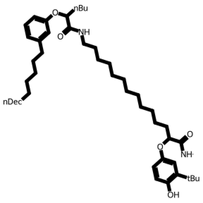 CCCCCCCCCCCCCCCc1cccc(OC(CCCC)C(=O)NCCCCCCCCCCCCC(Oc2ccc(O)c(C(C)(C)C)c2)C([NH])=O)c1